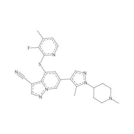 Cc1ccnc(Sc2cc(-c3cnn(C4CCN(C)CC4)c3C)cn3ncc(C#N)c23)c1F